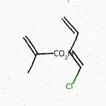 C=C(C)C(=O)O.C=CC=CCl